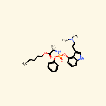 CCCCCOC(=O)[C@H](C)NP(=O)(Oc1ccccc1)Oc1cccc2[nH]cc(CCN(C)C)c12